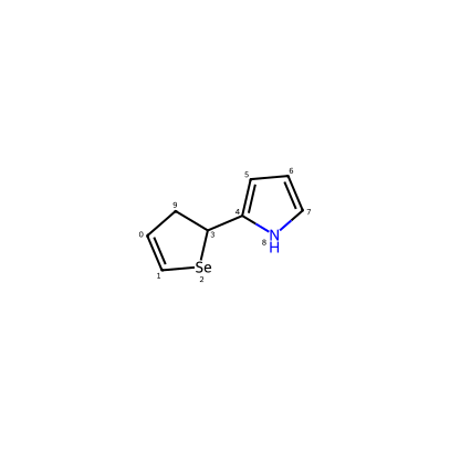 C1=C[Se]C(c2ccc[nH]2)C1